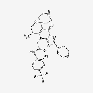 CC1COC2(CCNCC2)c2c1n(CC(=O)Nc1ccc(C(F)(F)F)cc1Cl)c1nc(C3=CCOCC3)nn1c2=O